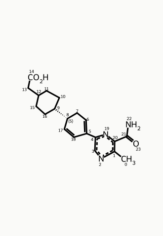 Cc1ncc(C2=CC[C@@H](C3CCC(CC(=O)O)CC3)C=C2)nc1C(N)=O